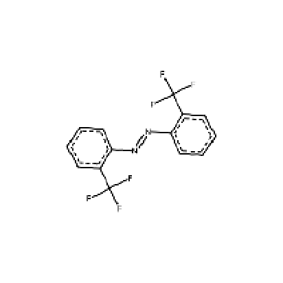 FC(F)(F)c1ccccc1N=Nc1ccccc1C(F)(F)F